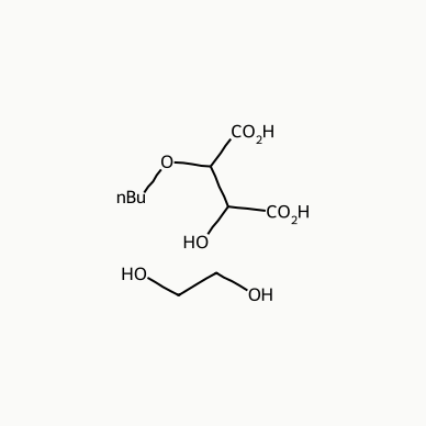 CCCCOC(C(=O)O)C(O)C(=O)O.OCCO